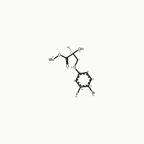 CC(C)(C)OC(=O)[C@@](C)(O)COc1ccc(Br)c(F)c1